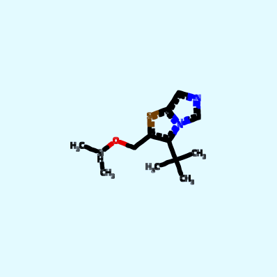 C[SiH](C)OCc1sc2cncn2c1C(C)(C)C